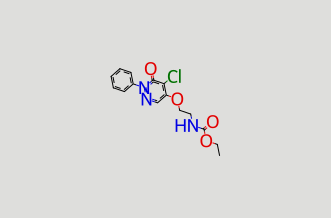 CCOC(=O)NCCOc1cnn(-c2ccccc2)c(=O)c1Cl